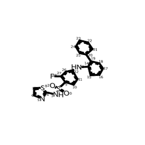 O=S(=O)(Nc1nccs1)c1ccc(Nc2ccccc2-c2ccccc2)cc1F